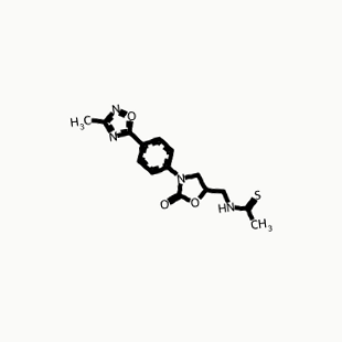 CC(=S)NCC1CN(c2ccc(-c3nc(C)no3)cc2)C(=O)O1